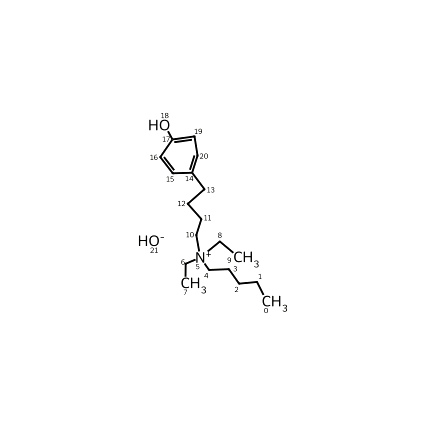 CCCCC[N+](CC)(CC)CCCCc1ccc(O)cc1.[OH-]